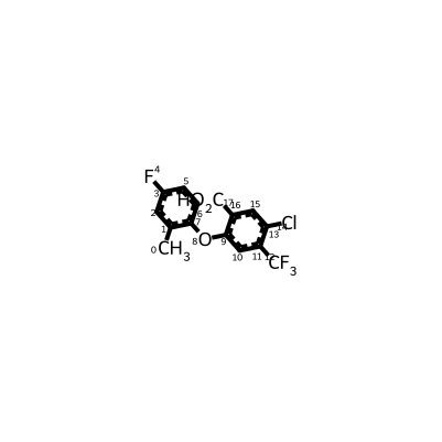 Cc1cc(F)ccc1Oc1cc(C(F)(F)F)c(Cl)cc1C(=O)O